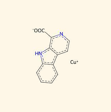 O=C([O-])c1nccc2c1[nH]c1ccccc12.[Cu+]